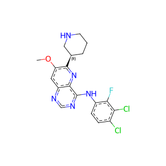 COc1cc2ncnc(Nc3ccc(Cl)c(Cl)c3F)c2nc1[C@@H]1CCCNC1